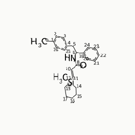 Cc1ccc(CC(NC(=O)C=C[Si]2(C)CCCCC2)c2ccccc2)cc1